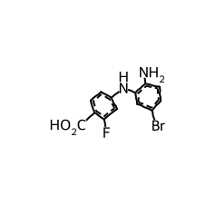 Nc1ccc(Br)cc1Nc1ccc(C(=O)O)c(F)c1